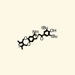 Cc1sc(C)c2c1COc1cc3c(cc1OC2)C(=N)N(CC(=O)c1cc(C(C)(C)C)c(O)c(C(C)(C)C)c1)C3